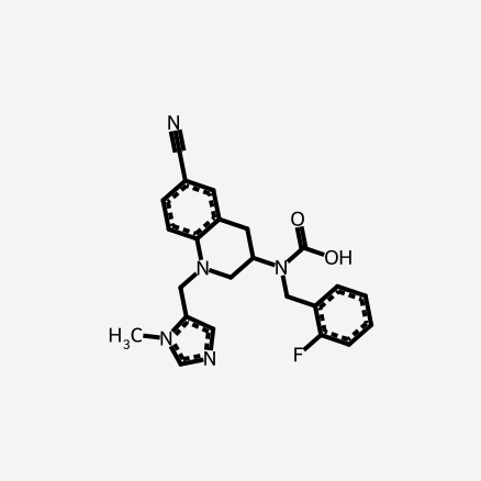 Cn1cncc1CN1CC(N(Cc2ccccc2F)C(=O)O)Cc2cc(C#N)ccc21